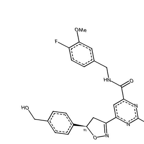 COc1cc(CNC(=O)c2cc(C3=NO[C@@H](c4ccc(CO)cc4)C3)nc(C)n2)ccc1F